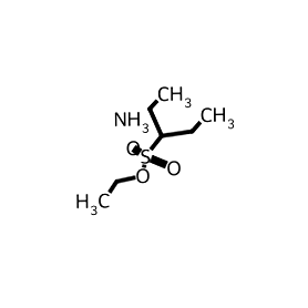 CCOS(=O)(=O)C(CC)CC.N